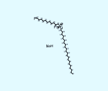 CCCCCCCCCCCCCCCCCCCCCCOS(=O)(=O)CC(F)CCCCCCCCCF.[NaH]